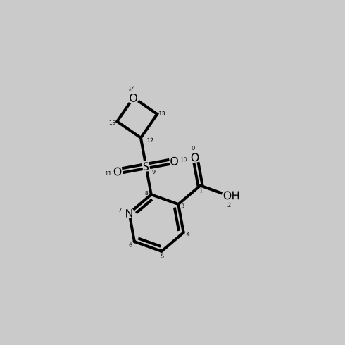 O=C(O)c1cccnc1S(=O)(=O)C1COC1